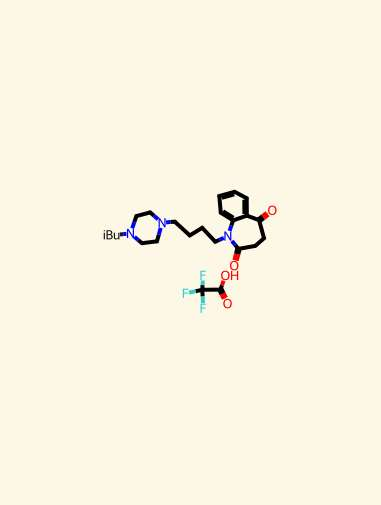 CCC(C)N1CCN(CCCCN2C(=O)CCC(=O)c3ccccc32)CC1.O=C(O)C(F)(F)F